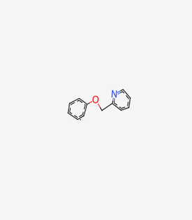 [c]1cccc(OCc2ccccn2)c1